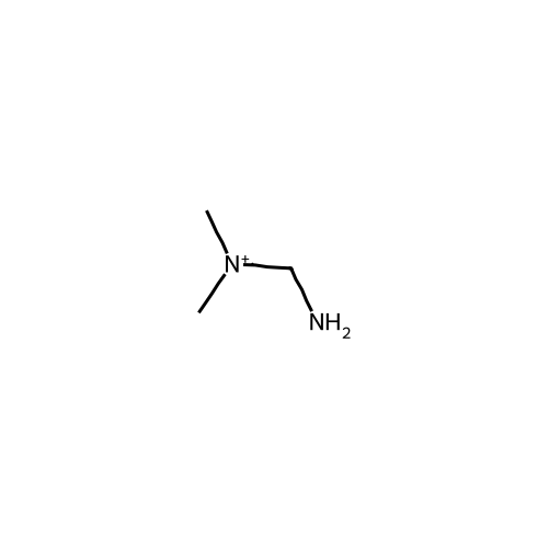 C[N+](C)CN